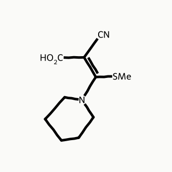 CSC(=C(C#N)C(=O)O)N1CCCCC1